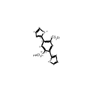 CCOC(=O)c1cc(-c2cccs2)c(C(=O)O)cc1-c1cccs1